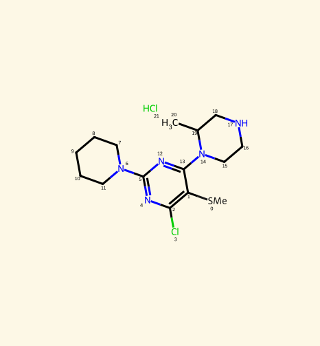 CSc1c(Cl)nc(N2CCCCC2)nc1N1CCNCC1C.Cl